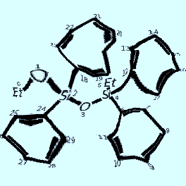 CCO[Si](O[Si](CC)(c1ccccc1)c1ccccc1)(c1ccccc1)c1ccccc1